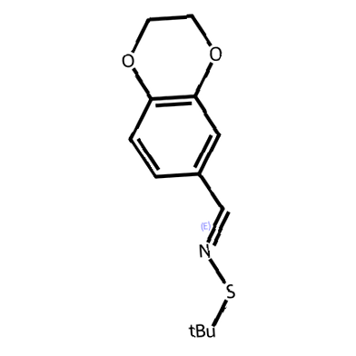 CC(C)(C)S/N=C/c1ccc2c(c1)OCCO2